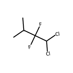 C[C](C)C(F)(F)C(Cl)Cl